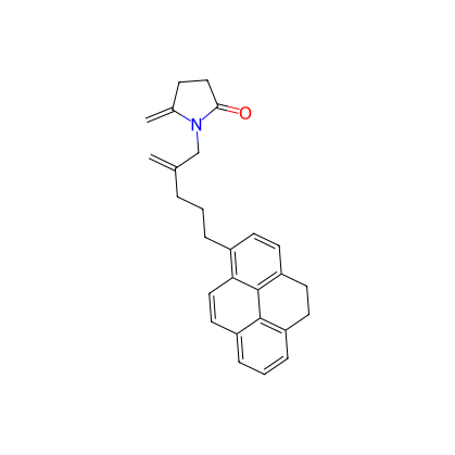 C=C(CCCc1ccc2c3c1ccc1cccc(c13)CC2)CN1C(=C)CCC1=O